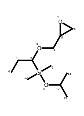 CCC(OCC1CO1)[Si](C)(C)OC(C)C